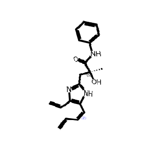 C=C/C=C\c1[nH]c(C[C@](C)(O)C(=O)Nc2ccccc2)nc1C=C